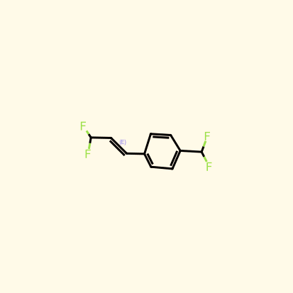 FC(F)/C=C/c1ccc(C(F)F)cc1